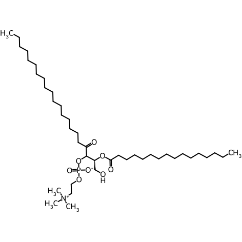 CCCCCCCCCCCCCCCCCC(=O)C(OP(=O)([O-])OCC[N+](C)(C)C)[C@H](CO)OC(=O)CCCCCCCCCCCCCCC